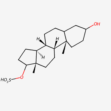 C[C@]12CCC(O)CC1CC[C@@H]1[C@H]2CC[C@]2(C)C(OS(=O)(=O)O)CC[C@@H]12